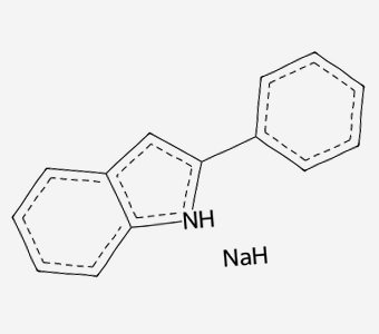 [NaH].c1ccc(-c2cc3ccccc3[nH]2)cc1